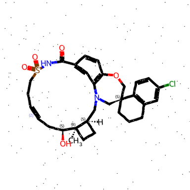 C[C@@]12CC[C@@H]1CN1C[C@@]3(CCCc4cc(Cl)ccc43)COc3ccc(cc31)C(=O)NS(=O)(=O)CC/C=C\C[C@@H]2O